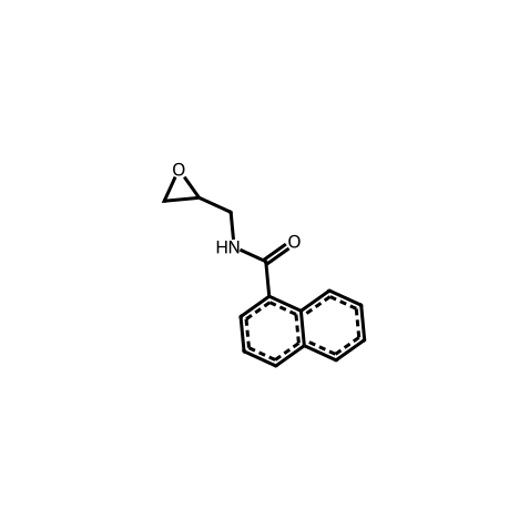 O=C(NCC1CO1)c1cccc2ccccc12